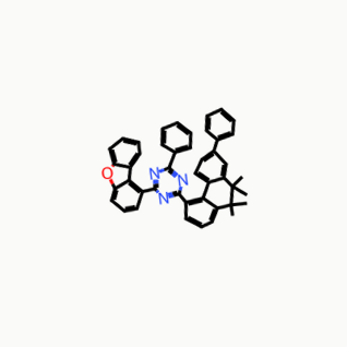 CC1(C)c2cc(-c3ccccc3)ccc2-c2c(-c3nc(-c4ccccc4)nc(-c4cccc5oc6ccccc6c45)n3)cccc2C1(C)C